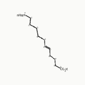 CCCCCCCCCCCCC=CCCCC(=O)O